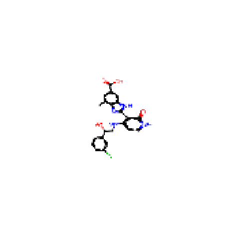 Cc1cc(C(=O)O)cc2[nH]c(-c3c(NCC(O)c4cccc(Cl)c4)cc[nH]c3=O)nc12